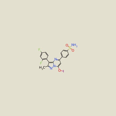 Cc1nn2c(OI)cc(-c3ccc(S(N)(=O)=O)cc3)nc2c1-c1ccc(F)cc1F